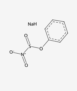 O=[N+]([O-])S(=O)Oc1ccccc1.[NaH]